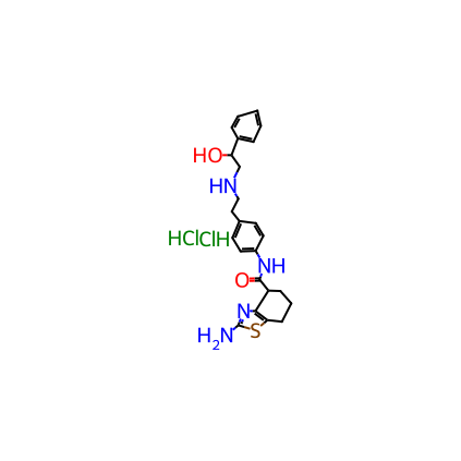 Cl.Cl.Nc1nc2c(s1)CCCC2C(=O)Nc1ccc(CCNCC(O)c2ccccc2)cc1